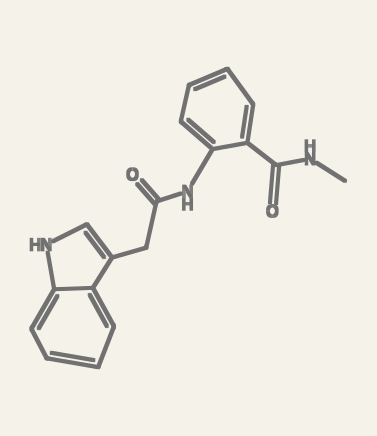 CNC(=O)c1ccccc1NC(=O)Cc1c[nH]c2ccccc12